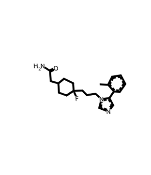 Cc1ccccc1-c1cncn1CCCC1(F)CCC(CC(N)=O)CC1